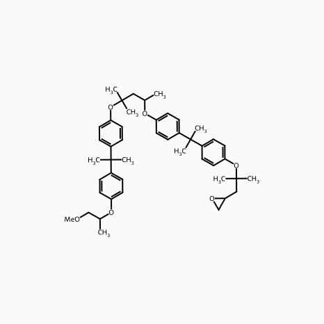 COCC(C)Oc1ccc(C(C)(C)c2ccc(OC(C)(C)CC(C)Oc3ccc(C(C)(C)c4ccc(OC(C)(C)CC5CO5)cc4)cc3)cc2)cc1